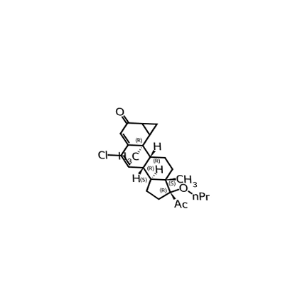 CCCO[C@]1(C(C)=O)CC[C@H]2[C@@H]3C=C(Cl)C4=CC(=O)C5CC5[C@@]4(C)[C@@H]3CC[C@@]21C